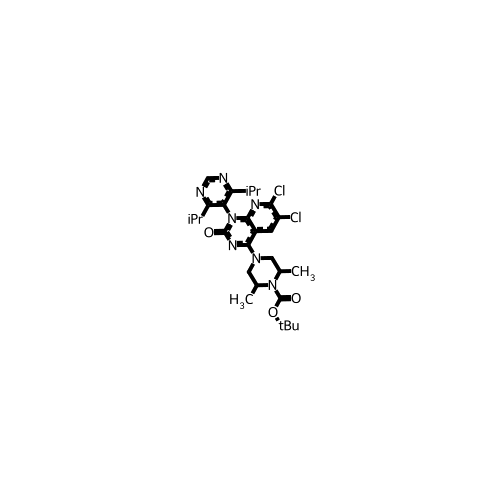 CC(C)c1ncnc(C(C)C)c1-n1c(=O)nc(N2CC(C)N(C(=O)OC(C)(C)C)C(C)C2)c2cc(Cl)c(Cl)nc21